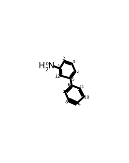 Nc1cccc(-c2cc#ccc2)c1